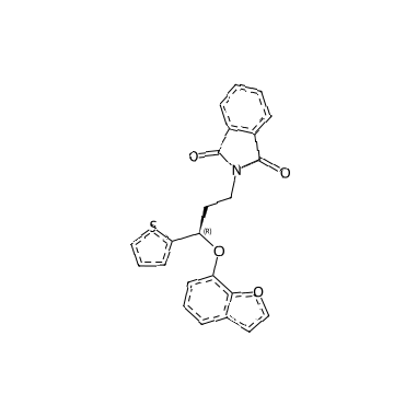 O=C1c2ccccc2C(=O)N1CC[C@@H](Oc1cccc2ccoc12)c1cccs1